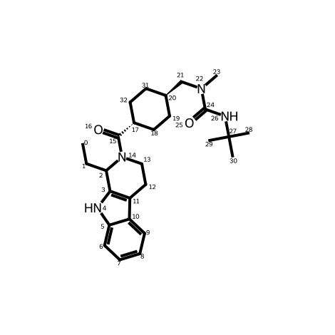 CCC1c2[nH]c3ccccc3c2CCN1C(=O)[C@H]1CC[C@H](CN(C)C(=O)NC(C)(C)C)CC1